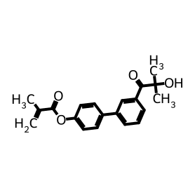 C=C(C)C(=O)Oc1ccc(-c2cccc(C(=O)C(C)(C)O)c2)cc1